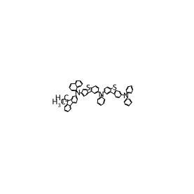 CC1(C)c2ccccc2-c2ccc(N(c3ccc4c(c3)sc3ccc(N(c5ccccc5)c5ccc6sc7cc(N(c8ccccc8)c8ccccc8)ccc7c6c5)cc34)c3cccc4ccccc34)cc21